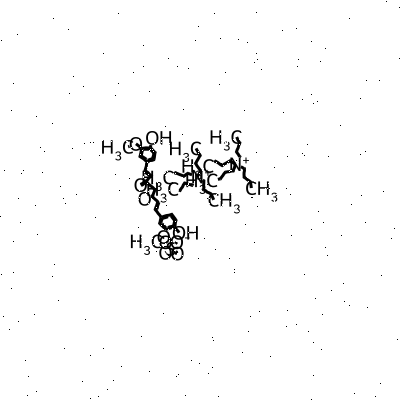 CCCC[N+](CCCC)(CCCC)CCCC.CCCC[N+](CCCC)(CCCC)CCCC.COc1cc(/C=C/C(=O)CC(=O)/C=C/c2ccc(O)c(OC)c2)ccc1O.O=S(=O)([O-])[O-]